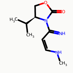 CN/C=C\C(=N)N1C(=O)OC[C@@H]1C(C)C